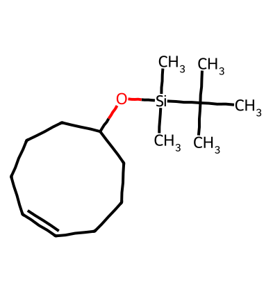 CC(C)(C)[Si](C)(C)OC1CCC/C=C\CCC1